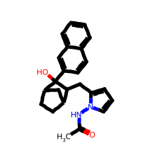 CC(=O)Nn1cccc1CC1C2CCC(C2)C1(O)c1ccc2ccccc2c1